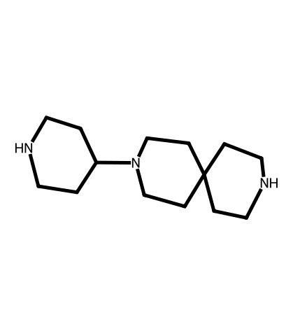 C1CC(N2CCC3(CCNCC3)CC2)CCN1